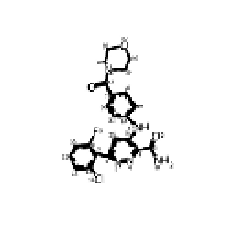 NC(=O)c1nnc(-c2c(F)cccc2Cl)cc1Nc1ccc(C(=O)N2CCOCC2)cc1